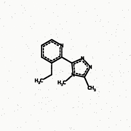 CCc1cccnc1-c1nnc(C)n1C